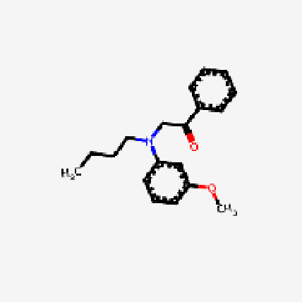 CCCCN(CC(=O)c1ccccc1)c1cccc(OC)c1